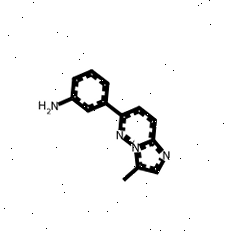 Cc1cnc2ccc(-c3cccc(N)c3)nn12